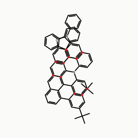 CC(C)(C)c1cc(-c2cccc3cccc(-c4ccccc4N(c4ccccc4-c4cccc5oc6ccccc6c45)c4ccccc4-c4cccc5c4c4ccccc4n5-c4ccccc4)c23)cc(C(C)(C)C)c1